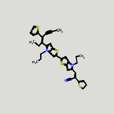 CC#C/C(=C(/CC)c1cc2sc(-c3cc4c(cc(/C=C(\C#N)C5=CCCS5)n4CCC)s3)cc2n1CCC)c1cccs1